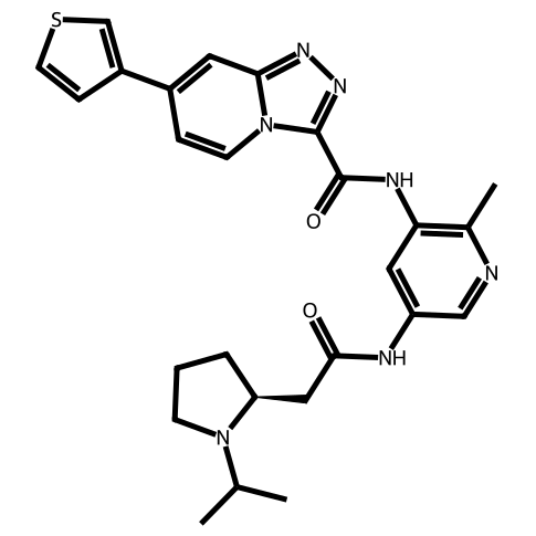 Cc1ncc(NC(=O)C[C@@H]2CCCN2C(C)C)cc1NC(=O)c1nnc2cc(-c3ccsc3)ccn12